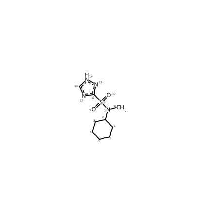 CN(C1CCCCC1)S(=O)(=O)c1nc[nH]n1